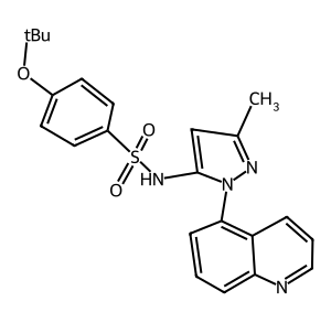 Cc1cc(NS(=O)(=O)c2ccc(OC(C)(C)C)cc2)n(-c2cccc3ncccc23)n1